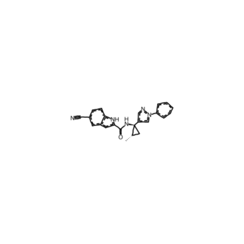 C[C@H]1C[C@@]1(NC(=O)c1cc2cc(C#N)ccc2[nH]1)c1cnn(-c2ccccc2)c1